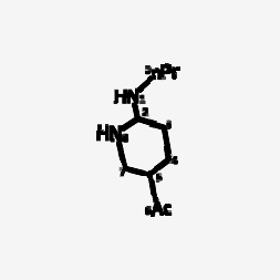 CCCNC1CCC(C(C)=O)CN1